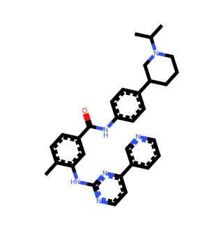 Cc1ccc(C(=O)Nc2ccc(C3CCCN(C(C)C)C3)cc2)cc1Nc1nccc(-c2cccnc2)n1